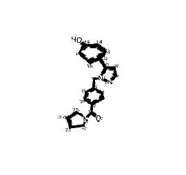 O=C(c1ccc(Cn2nccc2-c2ccc(O)cc2)cc1)N1CCCC1